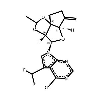 C=C1CC[C@]23OC(C)O[C@H]2[C@H](n2cc(C(F)F)c4c(Cl)ncnc42)O[C@H]13